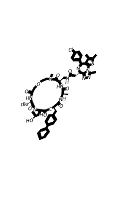 Cc1sc2c(c1C)C(c1ccc(Cl)cc1)=N[C@@H](CC(=O)NC[C@H]1NC(=O)[C@@H](C)NC(=O)[C@@H](Cc3ccc(-c4ccccc4)cc3)CC(=O)[C@@H]3C[C@@H](O)CN3C(=O)[C@H](C(C)(C)C)NC(=O)COCCN(C)C1=O)c1nnc(C)n1-2